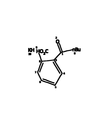 CCCCC(=O)c1ccccc1C(=O)O.[KH]